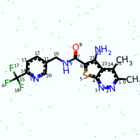 Cc1nnc2sc(C(=O)NCc3ccc(C(F)(F)F)nc3)c(N)c2c1C